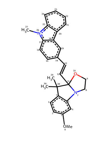 COc1ccc2c(c1)N1CCOC1(C=Cc1ccc3c(c1)c1ccccc1n3C)C2(C)C